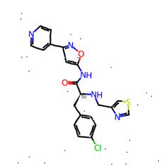 O=C(Nc1cc(-c2ccncc2)no1)[C@H](Cc1ccc(Cl)cc1)NCc1cscn1